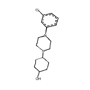 OC1CCC(N2CCN(c3cccc(Cl)c3)CC2)CC1